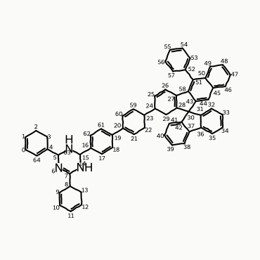 C1=CCCC(C2N=C(C3C=CC=CC3)NC(c3ccc(C4=CCC(C5C=CC6=C(C5)C5(c7ccccc7-c7ccccc75)c5cc7ccccc7c(-c7ccccc7)c56)C=C4)cc3)N2)=C1